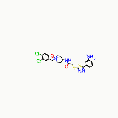 Nc1cccc(-c2nnc(SCC(=O)NC3CC[N+]([O-])(Cc4ccc(Cl)c(Cl)c4)CC3)s2)c1